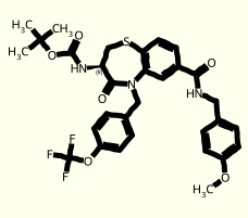 COc1ccc(CNC(=O)c2ccc3c(c2)N(Cc2ccc(OC(F)(F)F)cc2)C(=O)[C@@H](NC(=O)OC(C)(C)C)CS3)cc1